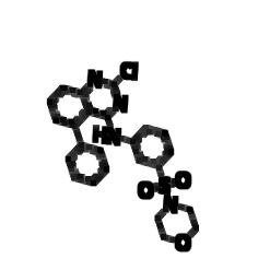 O=S(=O)(c1cccc(Nc2nc(Cl)nc3cccc(-c4ccccc4)c23)c1)N1CCOCC1